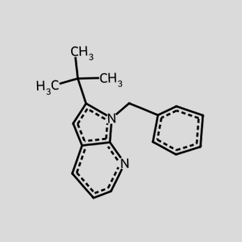 CC(C)(C)c1cc2cccnc2n1Cc1ccccc1